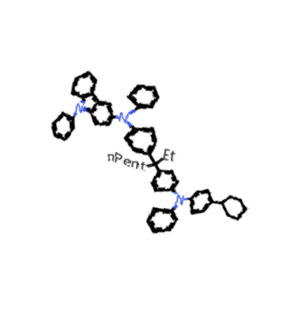 CCCCCC(CC)(c1ccc(N(c2ccccc2)c2ccc(C3CCCCC3)cc2)cc1)c1ccc(N(c2ccccc2)c2ccc3c(c2)c2ccccc2n3-c2ccccc2)cc1